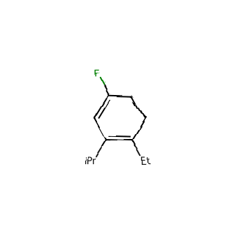 CCC1=C(C(C)C)C=C(F)CC1